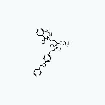 O=C(O)C(CCn1nnc2ccccc2c1=O)S(=O)(=O)CCc1ccc(OCc2ccccc2)cc1